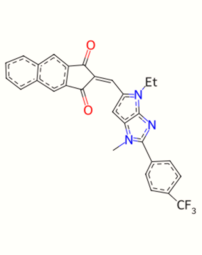 CCn1c(C=C2C(=O)c3cc4ccccc4cc3C2=O)cc2c1nc(-c1ccc(C(F)(F)F)cc1)n2C